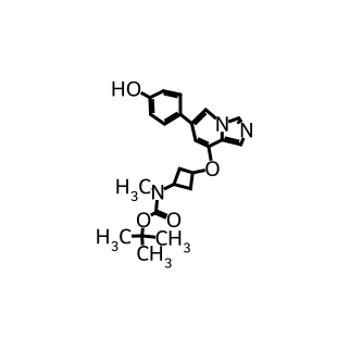 CN(C(=O)OC(C)(C)C)C1CC(Oc2cc(-c3ccc(O)cc3)cn3cncc23)C1